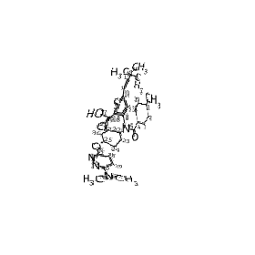 CC1CCC(C(=O)N(c2cc(C#CC(C)(C)C)sc2C(=O)O)C2CCC(Oc3ccc(N(C)C)nn3)CC2)CC1